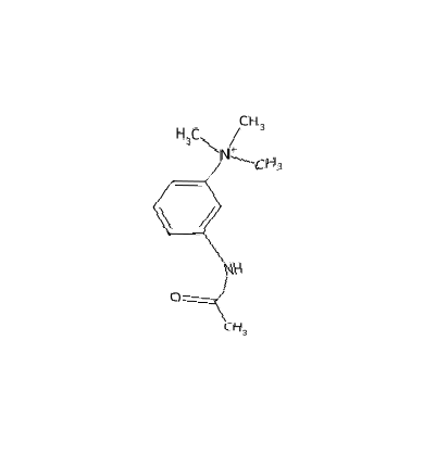 CC(=O)Nc1cccc([N+](C)(C)C)c1